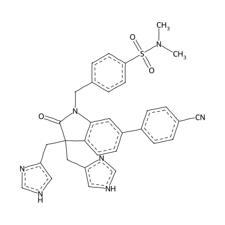 CN(C)S(=O)(=O)c1ccc(CN2C(=O)C(Cc3c[nH]cn3)(Cc3c[nH]cn3)c3ccc(-c4ccc(C#N)cc4)cc32)cc1